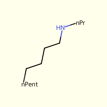 CCCCCCCCCNCCC